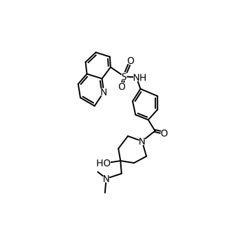 CN(C)CC1(O)CCN(C(=O)c2ccc(NS(=O)(=O)c3cccc4cccnc34)cc2)CC1